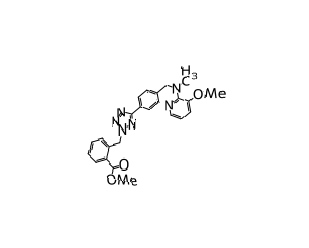 COC(=O)c1ccccc1Cn1nnc(-c2ccc(CN(C)c3ncccc3OC)cc2)n1